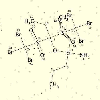 CCC[Si](N)(CCC)OC(CC)(S(=O)(=O)C(Br)(Br)Br)S(=O)(=O)C(Br)(Br)Br